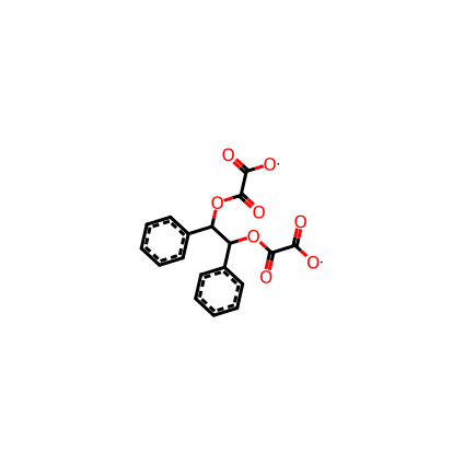 [O]C(=O)C(=O)OC(c1ccccc1)C(OC(=O)C([O])=O)c1ccccc1